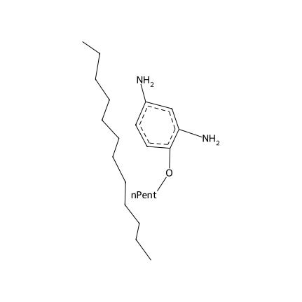 CCCCCCCCCCCC.CCCCCOc1ccc(N)cc1N